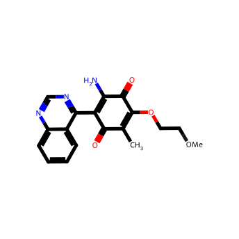 COCCOC1=C(C)C(=O)C(c2ncnc3ccccc23)=C(N)C1=O